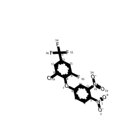 O=[N+]([O-])c1ccc(Oc2c(F)cc(C(F)(F)F)cc2Cl)cc1[N+](=O)[O-]